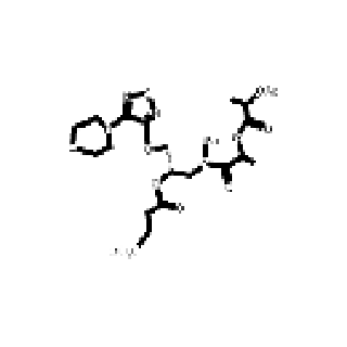 CCOC(=O)CCC(=O)O[C@H](COc1nsnc1N1CCOCC1)CN(C(=O)C(C)OC(=O)C(C)OC(C)=O)C(C)(C)C